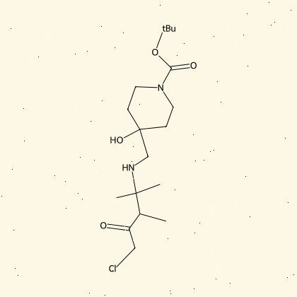 CC(C(=O)CCl)C(C)(C)NCC1(O)CCN(C(=O)OC(C)(C)C)CC1